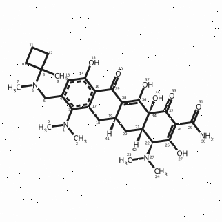 CN(C)c1c(CN(C)C2(C)CCC2)cc(O)c2c1C[C@H]1C[C@H]3[C@H](N(C)C)C(O)=C(C(N)=O)C(=O)[C@@]3(O)C(O)=C1C2=O